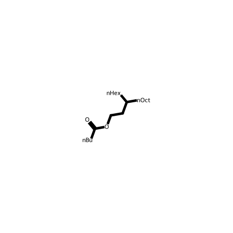 CCCCCCCCC(CCCCCC)CCOC(=O)CCCC